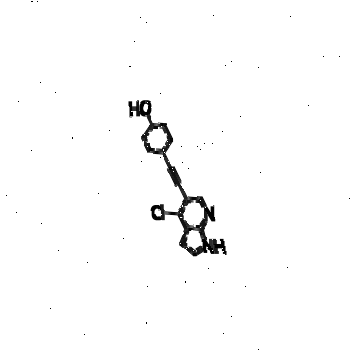 Oc1ccc(C#Cc2cnc3[nH]ccc3c2Cl)cc1